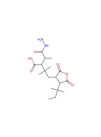 CCC(C)(C)C1C(=O)OC(=O)C1CC(C)(C)C(C(=O)O)C(C)C(=O)NN